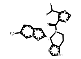 O=C(c1ocnc1C(F)F)N1CCc2[nH]cnc2[C@@H]1c1cc2ccc(C(F)(F)F)cn2n1